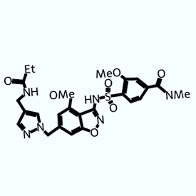 CCC(=O)NCc1cnn(Cc2cc(OC)c3c(NS(=O)(=O)c4ccc(C(=O)NC)cc4OC)noc3c2)c1